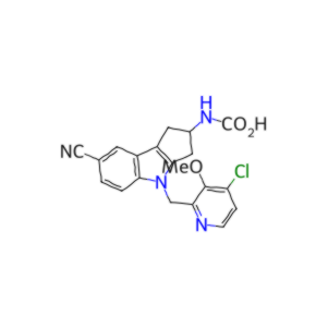 COc1c(Cl)ccnc1Cn1c2c(c3cc(C#N)ccc31)CC(NC(=O)O)C2